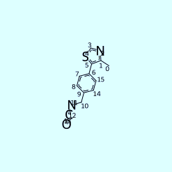 Cc1ncsc1-c1ccc(CN=C=O)cc1